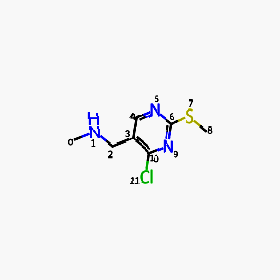 CNCc1cnc(SC)nc1Cl